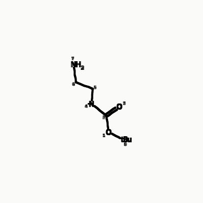 CC(C)(C)OC(=O)[N]CCN